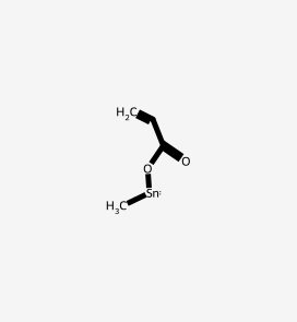 C=CC(=O)[O][Sn][CH3]